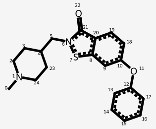 CN1CCC(Cn2sc3cc(Oc4ccccc4)ccc3c2=O)CC1